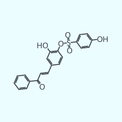 O=C(C=Cc1ccc(OS(=O)(=O)c2ccc(O)cc2)c(O)c1)c1ccccc1